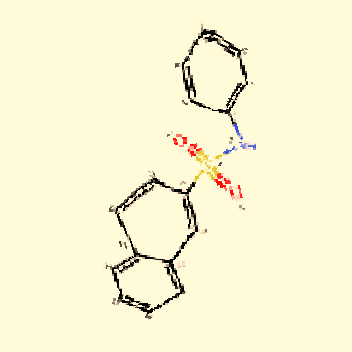 O=S(=O)(Nc1c[c]ccc1)c1ccc2ccccc2c1